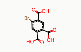 O=C(O)c1cc(C(=O)O)c(C(=O)O)cc1Br